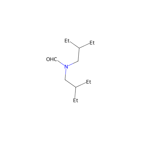 CCC(CC)CN(C=O)CC(CC)CC